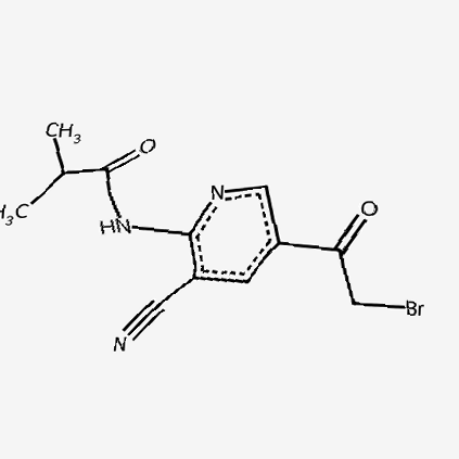 CC(C)C(=O)Nc1ncc(C(=O)CBr)cc1C#N